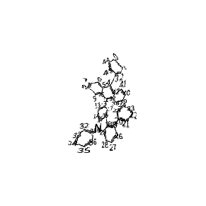 c1ccc(-c2c3ccccc3c(-c3ccc4c(c3)c3c(-c5ccccc5)cccc3n4-c3ccccc3)c3ccccc23)cc1